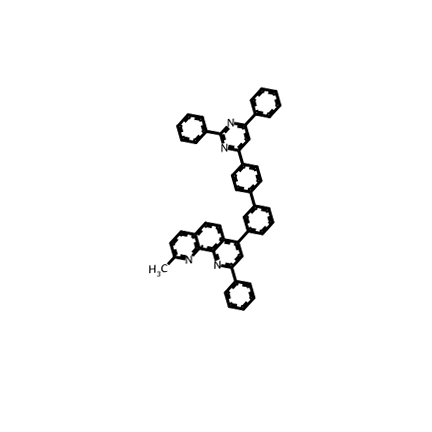 Cc1ccc2ccc3c(-c4cccc(-c5ccc(-c6cc(-c7ccccc7)nc(-c7ccccc7)n6)cc5)c4)cc(-c4ccccc4)nc3c2n1